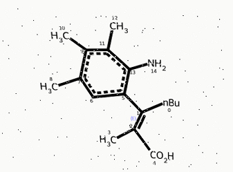 CCCC/C(=C(/C)C(=O)O)c1cc(C)c(C)c(C)c1N